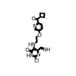 N=Cc1nc(Cl)[nH]c(=O)c1NCCOc1ccc(C(=O)C2CCC2)nc1